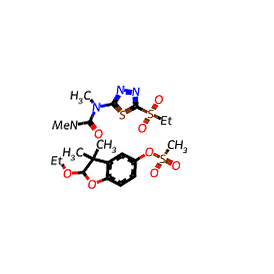 CCOC1Oc2ccc(OS(C)(=O)=O)cc2C1(C)C.CCS(=O)(=O)c1nnc(N(C)C(=O)NC)s1